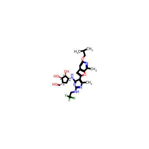 Cc1nc(NCC(F)(F)F)nc(N[C@@H]2C[C@H](CO)[C@@H](O)[C@H]2O)c1-c1cc2cc(OCC(C)C)nc(C)c2o1